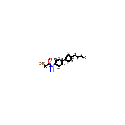 CCCCc1ccc(-c2ccc(NC(=O)CBr)cc2)cc1